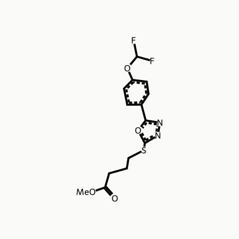 COC(=O)CCCSc1nnc(-c2ccc(OC(F)F)cc2)o1